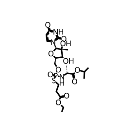 CCOC(=O)CCSP(=O)(N[C@H](C)C(=O)OC(C)C)OC[C@H]1O[C@@H](n2ccc(=O)[nH]c2=O)[C@](C)(O)[C@@H]1O